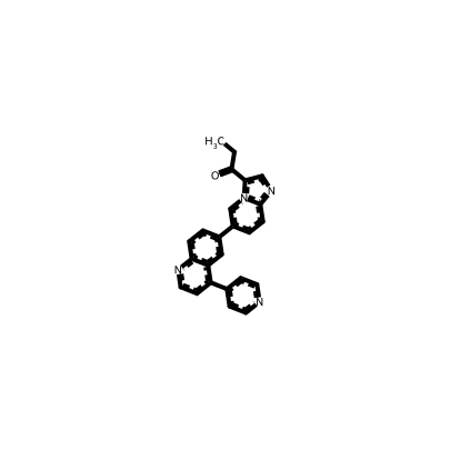 CCC(=O)c1cnc2ccc(-c3ccc4nccc(-c5ccncc5)c4c3)cn12